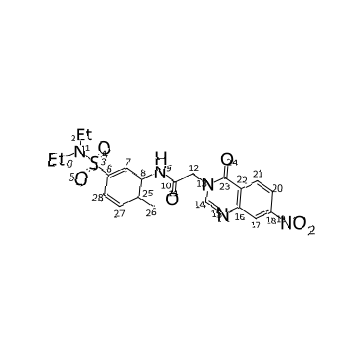 CCN(CC)S(=O)(=O)C1=CC(NC(=O)Cn2cnc3cc([N+](=O)[O-])ccc3c2=O)C(C)C=C1